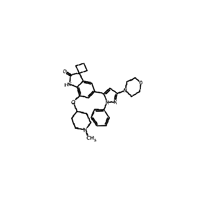 CN1CCC(Oc2cc(-c3cc(N4CCOCC4)nn3-c3ccccc3)cc3c2NC(=O)C32CCC2)CC1